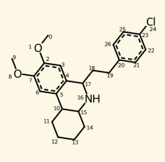 COc1cc2c(cc1OC)C1CCCCC1NC2CCc1ccc(Cl)cc1